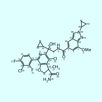 COc1cc(C(=O)NCC(O)(c2nc(-c3ccc(F)c(Cl)c3F)c3c(c2Cl)[C@@](C)(C(N)=O)CO3)C2CC2)cc2cn(C3CC3)nc12